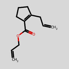 C=CCOC(=O)C1=C(CC=C)CCC1